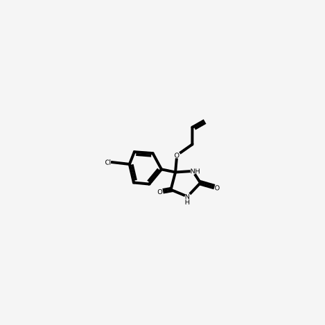 C=CCOC1(c2ccc(Cl)cc2)NC(=O)NC1=O